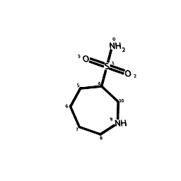 NS(=O)(=O)C1CCCCNC1